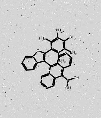 Bc1c(B)c(B)c(-c2oc3ccccc3c2-c2c3ccccc3c(B(O)O)c3ccccc23)c(B)c1B